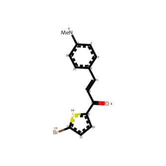 CNc1ccc(C=CC(=O)c2ccc(Br)s2)cc1